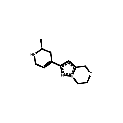 C[C@H]1CC(c2cc3n(n2)CCOC3)=CCN1